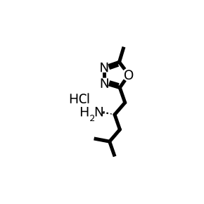 Cc1nnc(C[C@@H](N)CC(C)C)o1.Cl